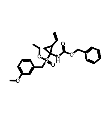 C=CC1CC1(NC(=O)OCc1ccccc1)P(=O)(Cc1cccc(OC)c1)OCC